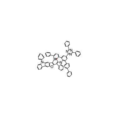 c1ccc(-c2ccc(-c3cc(-c4nc(-c5ccccc5)nc(-c5ccccc5)n4)cc(-c4ccc(-c5ccccc5)cc4)c3-n3c4ccccc4c4c5oc6cc7c8ccccc8n(-c8ccccc8)c7cc6c5ccc43)cc2)cc1